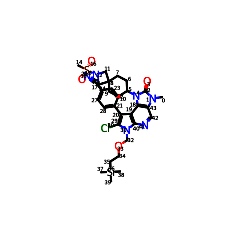 Cn1c(=O)n(C2CCC3(CC2)CN(S(C)(=O)=O)C3)c2c3c(-c4ccc(C#N)cc4)c(Cl)n(COCC[Si](C)(C)C)c3ncc21